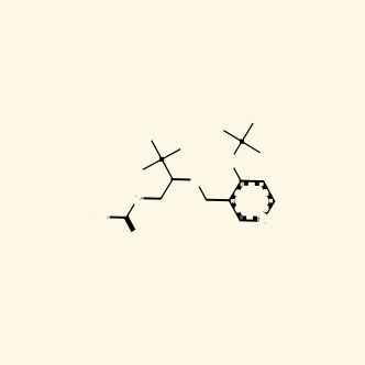 CC(C)(C)Sc1ccncc1CSC(CNC(=O)O)C(C)(C)C